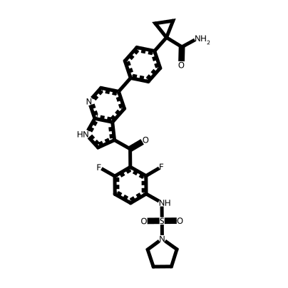 NC(=O)C1(c2ccc(-c3cnc4[nH]cc(C(=O)c5c(F)ccc(NS(=O)(=O)N6CCCC6)c5F)c4c3)cc2)CC1